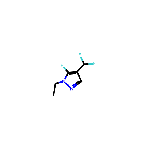 CCn1n[c]c(C(F)F)c1F